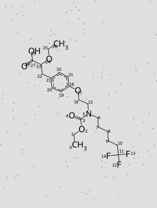 CCOC(=O)N(CCCCCC(F)(F)F)CCOc1ccc(CC(OCC)C(=O)O)cc1